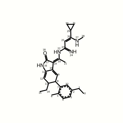 CCc1ccc(C)c(C2C=C3C(=CC2CC)NC(=O)/C3=C(/C)NC(=N)/C=C(\NC)C2CC2)c1